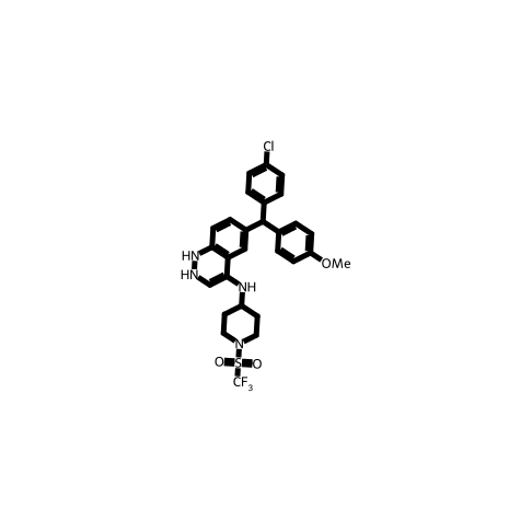 COc1ccc(C(c2ccc(Cl)cc2)c2ccc3c(c2)C(NC2CCN(S(=O)(=O)C(F)(F)F)CC2)=CNN3)cc1